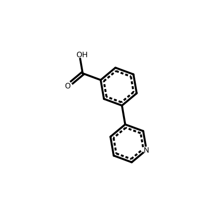 O=C(O)c1cccc(-c2cccnc2)c1